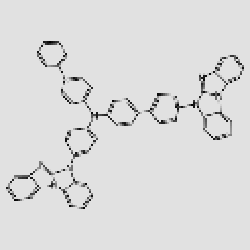 c1ccc(-c2ccc(N(c3ccc(-c4ccc(-n5c6ccccc6n6c7ccccc7nc56)cc4)cc3)c3ccc(-n4c5ccccc5n5c6ccccc6nc45)cc3)cc2)cc1